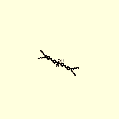 CCCCCCN(CCCCCC)c1ccc(/C=C/c2ccc(C3=C(O)C(=c4ccc(=CC=C5C=CC(=[N+](CCCCCC)CCCCCC)C=C5)cc4)C3=O)cc2)cc1